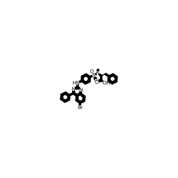 CN([C@@H](Cc1ccccc1)C(=O)O)S(=O)(=O)c1ccc(Nc2nc(-c3ccccc3)c3cc(Br)ccc3n2)cc1